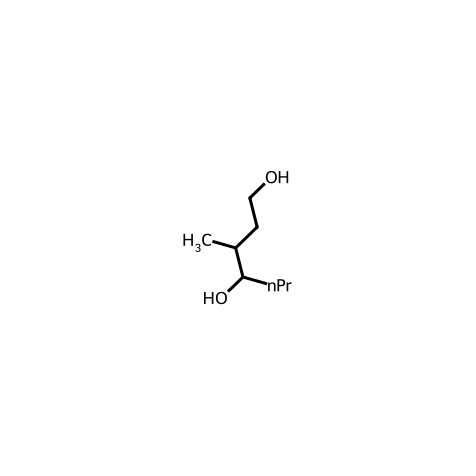 CCCC(O)C(C)CCO